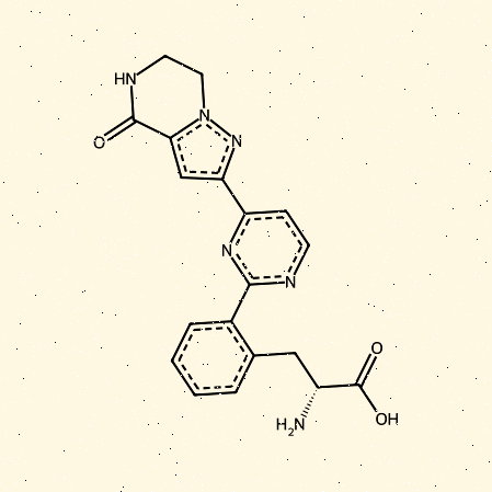 N[C@H](Cc1ccccc1-c1nccc(-c2cc3n(n2)CCNC3=O)n1)C(=O)O